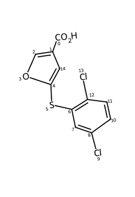 O=C(O)c1coc(Sc2cc(Cl)ccc2Cl)c1